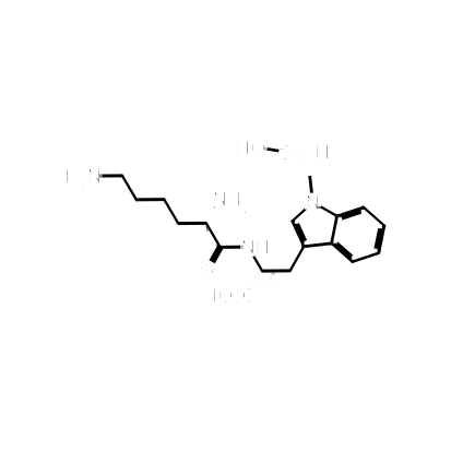 Cn1cc(C[C@@H](NC(=O)[C@@H](N)CCCCN)C(=O)O)c2ccccc21.O=S(=O)(O)O